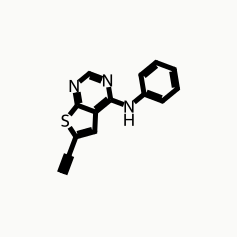 C#Cc1cc2c(Nc3ccccc3)ncnc2s1